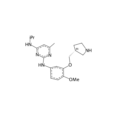 COc1ccc(Nc2nc(C)cc(NC(C)C)n2)cc1OC[C@@H]1CCNC1